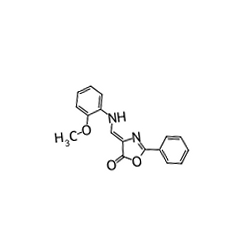 COc1ccccc1NC=C1N=C(c2ccccc2)OC1=O